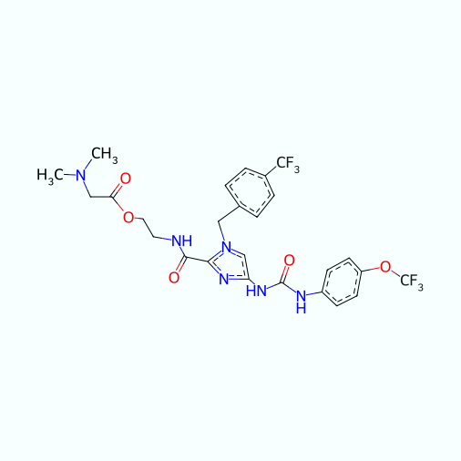 CN(C)CC(=O)OCCNC(=O)c1nc(NC(=O)Nc2ccc(OC(F)(F)F)cc2)cn1Cc1ccc(C(F)(F)F)cc1